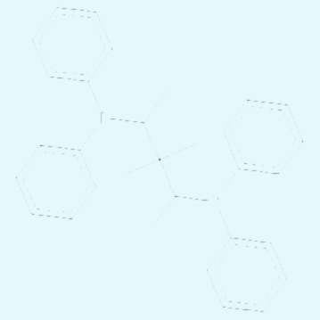 CC(P(c1ccccc1)c1ccccc1)C(C)(C)C(C)P(c1ccccc1)c1ccccc1